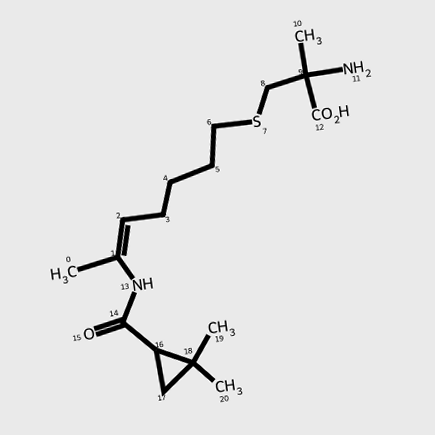 C/C(=C/CCCCSCC(C)(N)C(=O)O)NC(=O)C1CC1(C)C